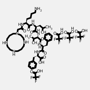 CC(C)C[C@H](NC(=O)[C@H](CCCCN)NC(=O)CN1CCCNCCNCCCNCC1)C(=O)N[C@H](C(=O)N[C@@H](Cc1ccccc1)C(=O)N[C@@H](Cc1ccccc1)C(=O)O)C(C)C.O=C(O)C(F)(F)F.O=C(O)C(F)(F)F.O=C(O)C(F)(F)F.O=C(O)C(F)(F)F